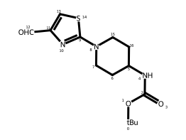 CC(C)(C)OC(=O)NC1CCN(c2nc(C=O)cs2)CC1